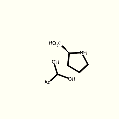 CC(=O)C(O)O.O=C(O)[C@@H]1CCCN1